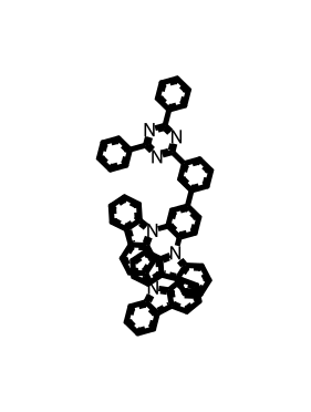 c1ccc2c(c#1)c1ccccc1n2-c1ccc(-c2cccc(-c3nc(-c4ccccc4)nc(-c4ccccc4)n3)c2)cc1-n1c2ccccc2c2ccc(-n3c4ccccc4c4ccccc43)cc21